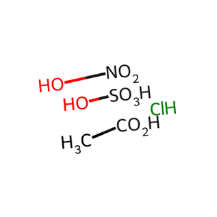 CC(=O)O.Cl.O=S(=O)(O)O.O=[N+]([O-])O